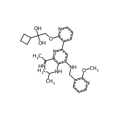 COc1ncccc1CNc1cc(-c2cccnc2OCC(O)(O)C2CCC2)nc(C(C)=N)c1NC(C)C